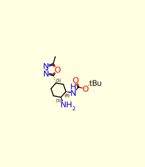 Cc1nnc([C@H]2CC[C@H](N)[C@H](NC(=O)OC(C)(C)C)C2)o1